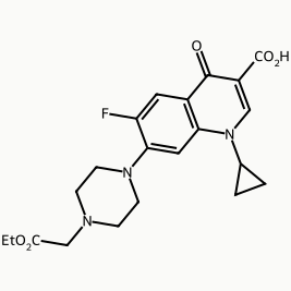 CCOC(=O)CN1CCN(c2cc3c(cc2F)c(=O)c(C(=O)O)cn3C2CC2)CC1